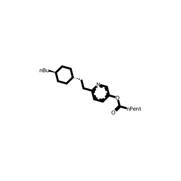 CCCCCC(=O)Oc1ccc(CC[C@H]2CC[C@H](CCCC)CC2)nc1